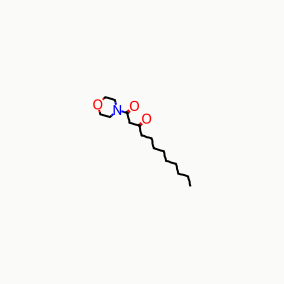 CCCCCCCCCC(=O)CC(=O)N1CCOCC1